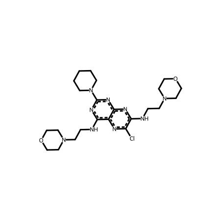 Clc1nc2c(NCCN3CCOCC3)nc(N3CCCCC3)nc2nc1NCCN1CCOCC1